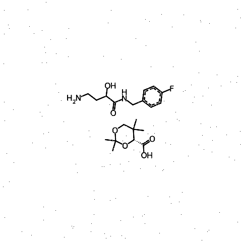 CC1(C)OCC(C)(C)[C@H](C(=O)O)O1.NCCC(O)C(=O)NCc1ccc(F)cc1